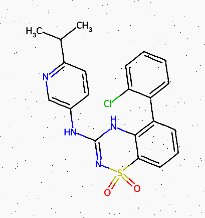 CC(C)c1ccc(NC2=NS(=O)(=O)c3cccc(-c4ccccc4Cl)c3N2)cn1